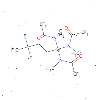 CN(C(=O)C(F)(F)F)[Si](CCC(F)(F)C(F)(F)F)(N(C)C(=O)C(F)(F)F)N(C)C(=O)C(F)(F)F